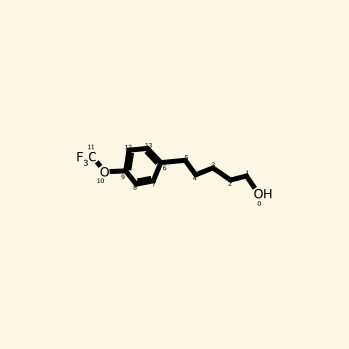 OCCCCCc1ccc(OC(F)(F)F)cc1